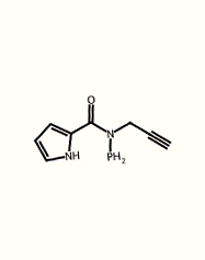 C#CCN(P)C(=O)c1ccc[nH]1